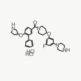 Cl.Cl.O=C(c1ccc(O[C@H]2CCNC2)c(-c2ccccc2)c1)N1CCC(Oc2cc(F)cc(N3CCNCC3)c2)CC1